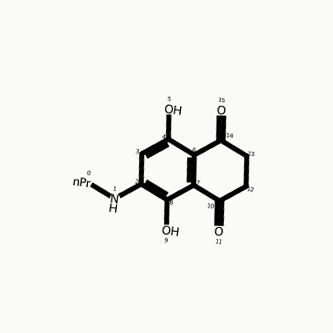 CCCNc1cc(O)c2c(c1O)C(=O)CCC2=O